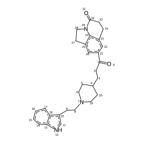 O=C(CCC1CCN(CCc2c[nH]c3ccccc23)CC1)c1cc2c3c(c1)CCN3C(=O)CC2